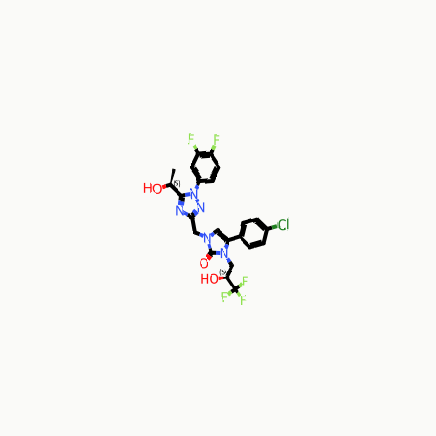 C[C@H](O)c1nc(Cn2cc(-c3ccc(Cl)cc3)n(C[C@H](O)C(F)(F)F)c2=O)nn1-c1ccc(F)c(F)c1